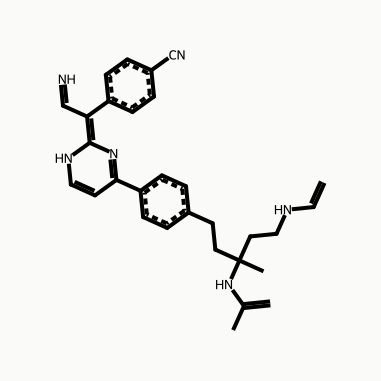 C=CNCCC(C)(CCc1ccc(C2=N/C(=C(/C=N)c3ccc(C#N)cc3)NC=C2)cc1)NC(=C)C